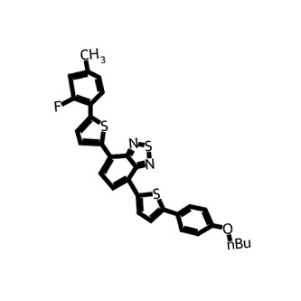 CCCCOc1ccc(-c2ccc(-c3ccc(-c4ccc(-c5ccc(C)cc5F)s4)c4nsnc34)s2)cc1